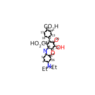 CCN(CC)c1ccc2nc3c(C(=O)O)c(-c4ccc(C(=O)O)cc4)c(=O)c(O)c-3oc2c1